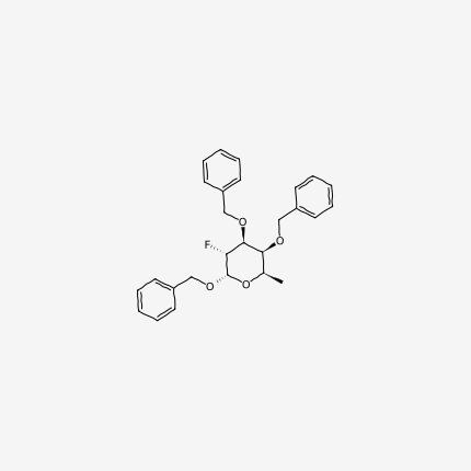 C[C@H]1O[C@H](OCc2ccccc2)[C@H](F)[C@@H](OCc2ccccc2)[C@H]1OCc1ccccc1